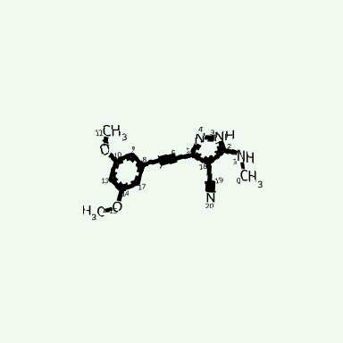 CNc1[nH]nc(C#Cc2cc(OC)cc(OC)c2)c1C#N